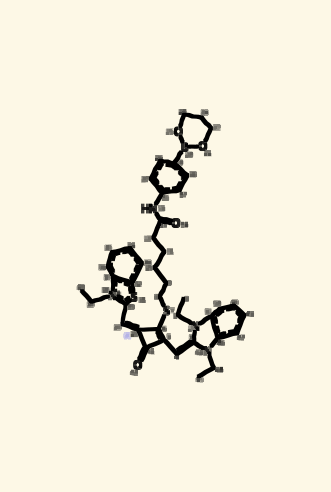 CCN1C(=CC2=C(SCCCCCC(=O)Nc3ccc(B4OCCCO4)cc3)/C(=C\c3sc4ccccc4[n+]3CC)C2=O)N(CC)c2ccccc21